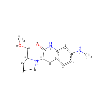 CNc1ccc2c(c1)NC(=O)C(N1CCCC1COC)C2